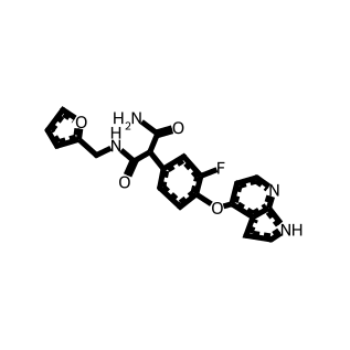 NC(=O)C(C(=O)NCc1ccco1)c1ccc(Oc2ccnc3[nH]ccc23)c(F)c1